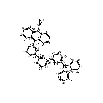 CC12C=CC=CC1C(C#N)=c1ccccc1=C2c1cccc(-c2cccc(-c3cccc(-n4c5ccccc5c5ccncc54)n3)n2)n1